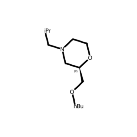 CCCCOC[C@H]1CN(CC(C)C)CCO1